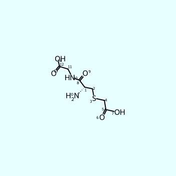 N[C@@H](CSCC(=O)O)C(=O)NCC(=O)O